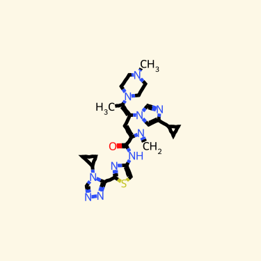 C=N/C(=C\C(=C(/C)N1CCN(C)CC1)n1cnc(C2CC2)c1)C(=O)Nc1csc(-c2nncn2C2CC2)n1